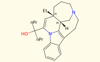 CCCC(O)(CCC)C1=C[C@]2(CC)CCCN3CCc4c(n1c1ccccc41)[C@H]2C3